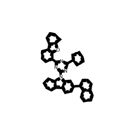 c1ccc(-c2nc(-c3cccc4c3oc3ccccc34)nc(-n3c4ccccc4c4ccc(-c5cccc6ccccc56)cc43)n2)cc1